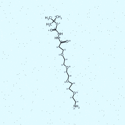 CC(C)(C)OC(=O)NNC(=O)CCOCCOCCOCCOCCN